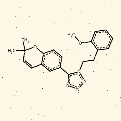 COc1ccccc1CCn1nnnc1-c1ccc2c(c1)C=CC(C)(C)O2